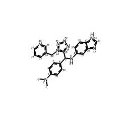 CN(C)c1ccc(C(Nc2ccc3[nH]cnc3c2)c2nnnn2Cc2cccnc2)cc1